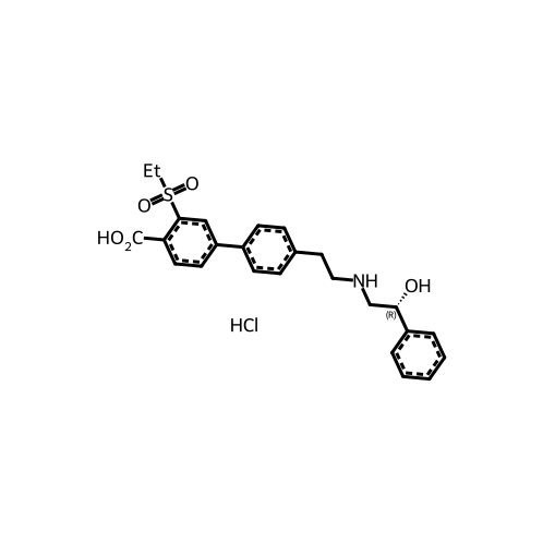 CCS(=O)(=O)c1cc(-c2ccc(CCNC[C@H](O)c3ccccc3)cc2)ccc1C(=O)O.Cl